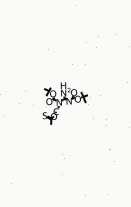 CC(=S)OCCN(C(=O)OC(C)(C)C)C(N)=NC(=O)OC(C)(C)C